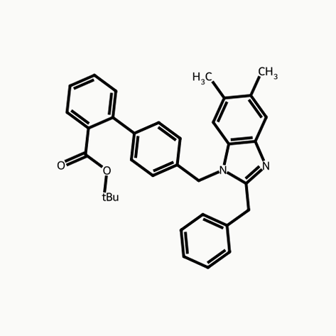 Cc1cc2nc(Cc3ccccc3)n(Cc3ccc(-c4ccccc4C(=O)OC(C)(C)C)cc3)c2cc1C